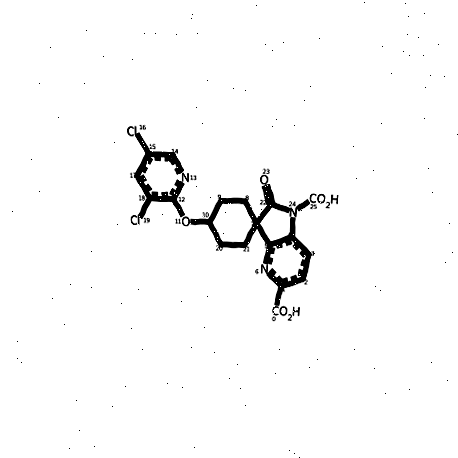 O=C(O)c1ccc2c(n1)C1(CCC(Oc3ncc(Cl)cc3Cl)CC1)C(=O)N2C(=O)O